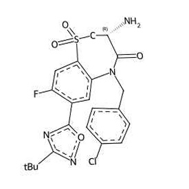 CC(C)(C)c1noc(-c2cc3c(cc2F)S(=O)(=O)C[C@H](N)C(=O)N3Cc2ccc(Cl)cc2)n1